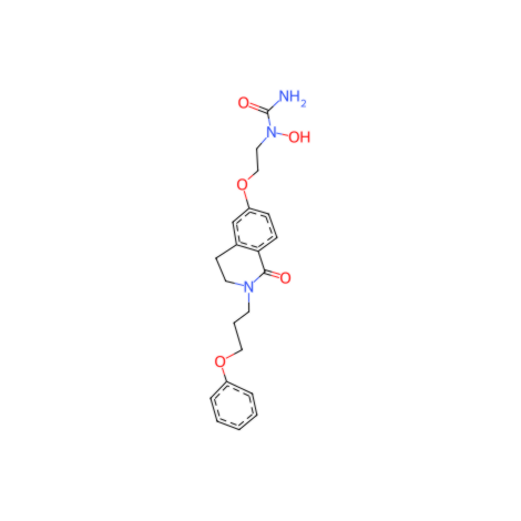 NC(=O)N(O)CCOc1ccc2c(c1)CCN(CCCOc1ccccc1)C2=O